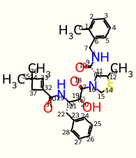 Cc1ccccc1CNC(=O)[C@@H]1C(C)SCN1C(=O)[C@@H](O)[C@H](Cc1ccccc1)NC(=O)C1=CC(C)(C)C1